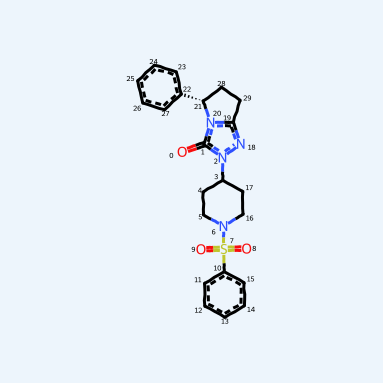 O=c1n(C2CCN(S(=O)(=O)c3ccccc3)CC2)nc2n1[C@H](c1ccccc1)CC2